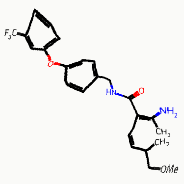 COCC(C)/C=C\C(C(=O)NCc1ccc(Oc2cccc(C(F)(F)F)c2)cc1)=C(/C)N